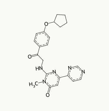 Cn1c(NCC(=O)c2ccc(OC3CCCC3)cc2)nc(-c2ccncn2)cc1=O